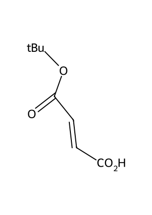 CC(C)(C)OC(=O)C=CC(=O)O